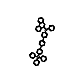 c1ccc(N(c2ccc(-c3ccc(-c4ccc([Si](c5ccccc5)(c5ccccc5)c5ccccc5)cc4)cc3)cc2)c2cc3ccccc3c3ccccc23)cc1